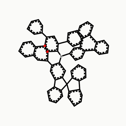 c1ccc(-c2ccc(N(c3ccc4c5ccccc5c5ccccc5c4c3)c3cc4c(cc3-c3ccc5ccccc5c3)-c3ccccc3C43c4ccccc4-c4ccccc43)c(-c3ccccc3)c2)cc1